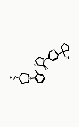 CN1CCN(c2ccccc2C[C@@H]2CCN(c3ccc(C4(O)CCCC4)nc3)C2=O)CC1